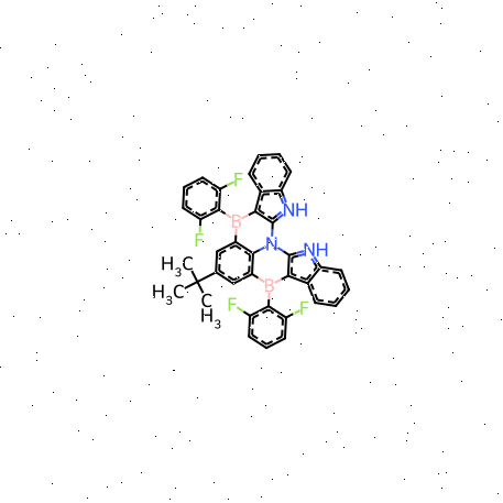 CC(C)(C)c1cc2c3c(c1)B(c1c(F)cccc1F)c1c([nH]c4ccccc14)N3c1[nH]c3ccccc3c1B2c1c(F)cccc1F